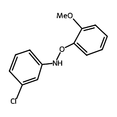 COc1ccccc1ONc1cccc(Cl)c1